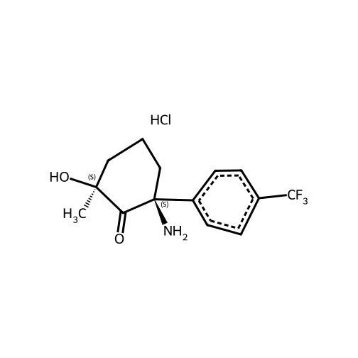 C[C@]1(O)CCC[C@](N)(c2ccc(C(F)(F)F)cc2)C1=O.Cl